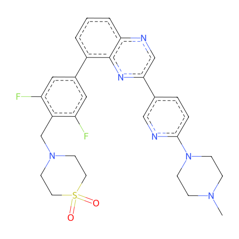 CN1CCN(c2ccc(-c3cnc4cccc(-c5cc(F)c(CN6CCS(=O)(=O)CC6)c(F)c5)c4n3)cn2)CC1